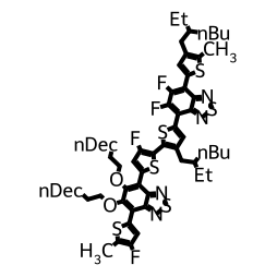 CCCCCCCCCCCCOc1c(OCCCCCCCCCCCC)c(-c2cc(F)c(-c3sc(-c4c(F)c(F)c(-c5cc(CC(CC)CCCC)c(C)s5)c5nsnc45)cc3CC(CC)CCCC)s2)c2nsnc2c1-c1cc(F)c(C)s1